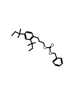 CCC(C)(C)c1ccc(CCCOC(=O)OCc2ccccc2)c(C(C)(C)CC)c1